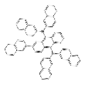 C1=Cc2cc(-c3ccc4c(N(c5ccc6ccccc6c5)c5ccc6ccccc6c5)c5ccccc5c(N(c5ccc6c(c5)C=CCC6)c5ccc6ccccc6c5)c4c3)ccc2CC1